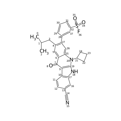 CC(C)Cc1cc2c(=O)c3c4ccc(C#N)cc4[nH]c3n(C3CCC3)c2cc1-c1cccc(S(=O)(=O)F)c1